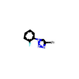 CC(C)c1cn(-c2ccccc2F)nn1